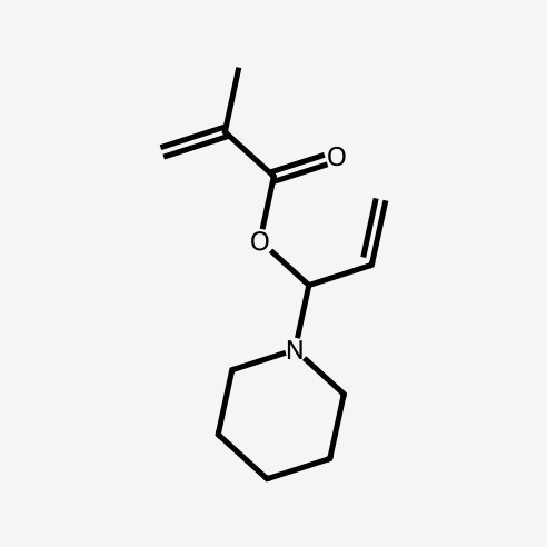 C=CC(OC(=O)C(=C)C)N1CCCCC1